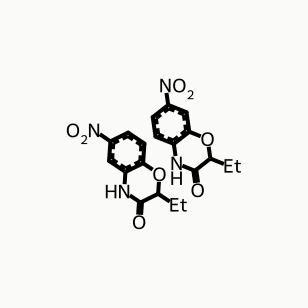 CCC1Oc2cc([N+](=O)[O-])ccc2NC1=O.CCC1Oc2ccc([N+](=O)[O-])cc2NC1=O